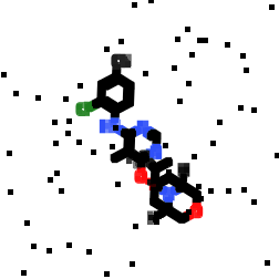 Cc1c(Nc2ccc(C#N)cc2Cl)ncnc1O[C@H]1C[C@H]2COC[C@@H](C1)N2CC(C)C(F)(F)F